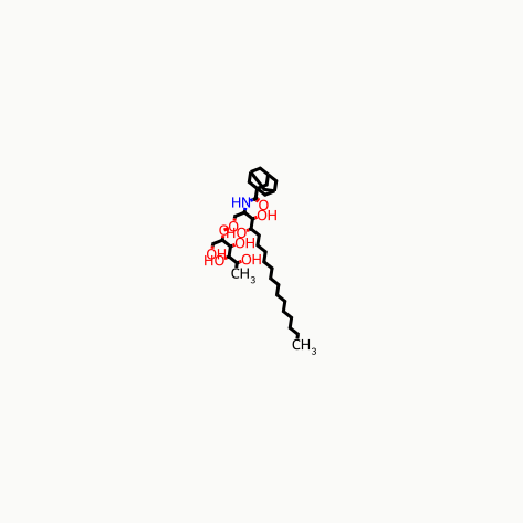 CCCCCCCCCCCCCCC(O)C(O)C(COOC(CO)C(O)C(O)C(C)O)NC(=O)C12CC3CC(CC(C3)C1)C2